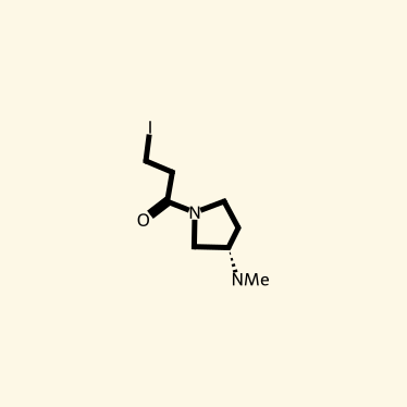 CN[C@H]1CCN(C(=O)CCI)C1